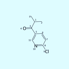 CC(C)C(=O)c1ccc(Cl)nc1